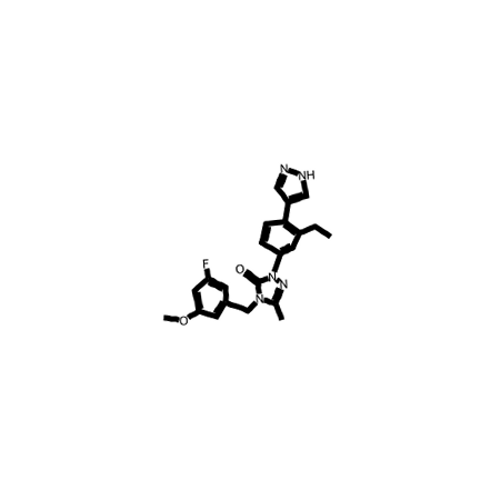 CCc1cc(-n2nc(C)n(Cc3cc(F)cc(OC)c3)c2=O)ccc1-c1cn[nH]c1